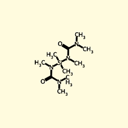 CN(C)C(=O)N(C)[Si](C)(C)N(C)C(=O)N(C)C